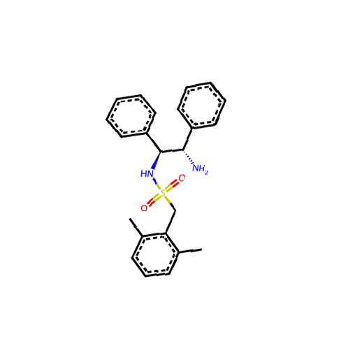 Cc1cccc(C)c1CS(=O)(=O)N[C@@H](c1ccccc1)[C@@H](N)c1ccccc1